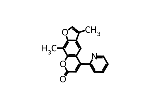 Cc1coc2c(C)c3oc(=O)cc(-c4ccccn4)c3cc12